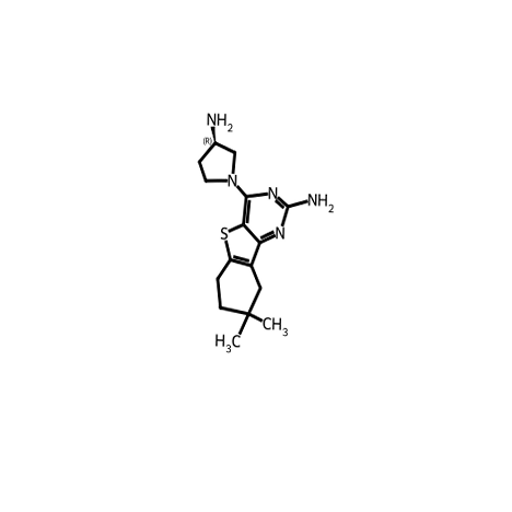 CC1(C)CCc2sc3c(N4CC[C@@H](N)C4)nc(N)nc3c2C1